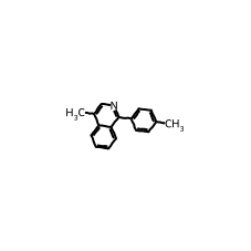 Cc1ccc(-c2ncc(C)c3ccccc23)cc1